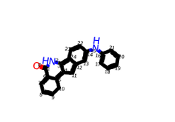 O=c1[nH]c2c(c3c1=CC=CC3)C=c1cc(Nc3ccccc3)ccc1=2